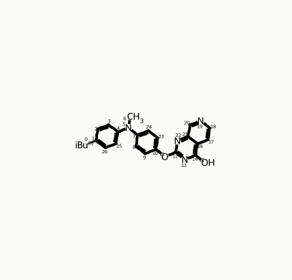 CC[C@H](C)c1ccc(N(C)c2ccc(Oc3nc(O)c4ccncc4n3)cc2)cc1